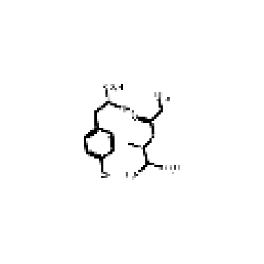 C[C@@H](OC(=O)CN)[C@H](N)C(=O)O.N[C@@H](Cc1ccc(O)cc1)C(=O)O